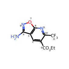 CCOC(=O)c1cc2c(N)noc2nc1C(F)(F)F